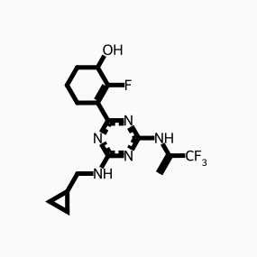 C=C(Nc1nc(NCC2CC2)nc(C2=C(F)C(O)CCC2)n1)C(F)(F)F